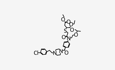 CCOC(=O)CC(SCC(=O)N(CCOC(C)C)c1ccc(C(=O)N2CCN(CCc3ccc(Cl)cc3)CC2)cc1)C(=O)OCC